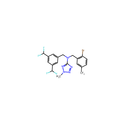 Cn1nnc(N(Cc2cc(C(F)F)cc(C(F)F)c2)Cc2cc(C(F)(F)F)ccc2Br)n1